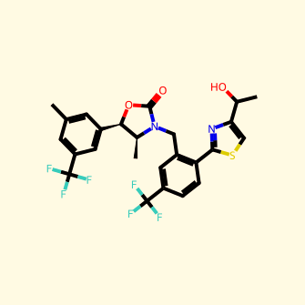 Cc1cc([C@H]2OC(=O)N(Cc3cc(C(F)(F)F)ccc3-c3nc(C(C)O)cs3)[C@H]2C)cc(C(F)(F)F)c1